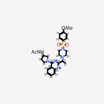 COc1ccc(S(=O)(=O)N2CCN(C(C)c3nc(N4CC[C@@H](NC(C)=O)C4)c4ccccc4n3)CC2)cc1